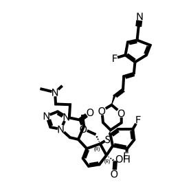 CCC(Cn1cncn1)C1=CC=C[C@](C(=O)O)(c2ccc(F)cc2F)[C@]1(COC(=O)CCCN(C)C)S[C@H]1CO[C@H](C=CC=Cc2ccc(C#N)cc2F)OC1